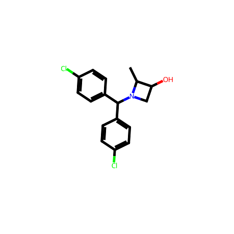 CC1C(O)CN1C(c1ccc(Cl)cc1)c1ccc(Cl)cc1